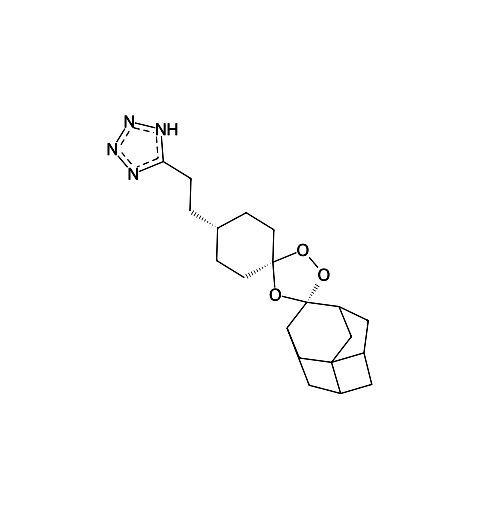 C(C[C@H]1CC[C@]2(CC1)OO[C@]1(O2)C2CC3CC4CC1CC34C2)c1nnn[nH]1